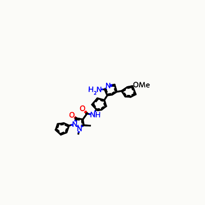 COc1cccc(-c2cnc(N)c(-c3ccc(NC(=O)c4c(C)n(C)n(-c5ccccc5)c4=O)cc3)c2)c1